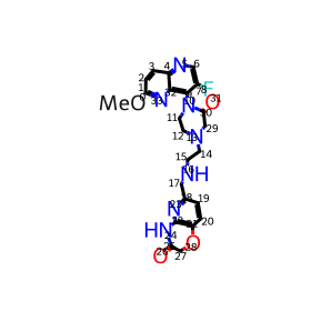 COc1ccc2ncc(F)c(N3CCN(CCNCc4ccc5c(n4)NC(=O)CO5)CC3=O)c2n1